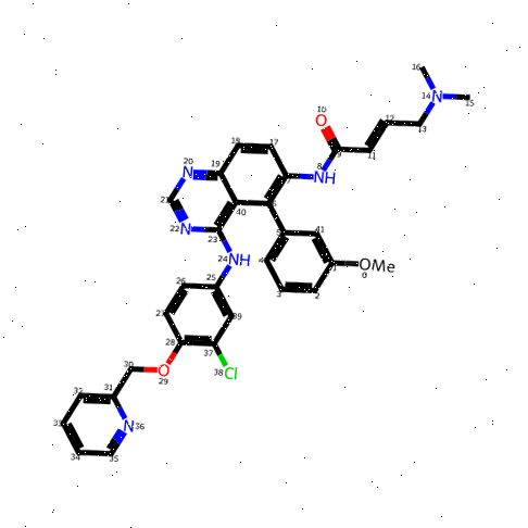 COc1cccc(-c2c(NC(=O)/C=C/CN(C)C)ccc3ncnc(Nc4ccc(OCc5ccccn5)c(Cl)c4)c23)c1